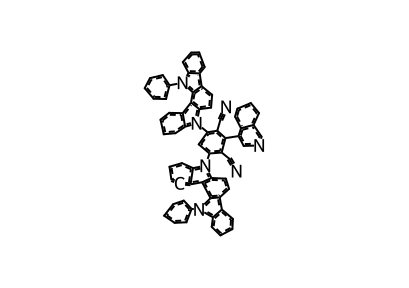 N#Cc1c(-n2c3ccccc3c3c2ccc2c4ccccc4n(-c4ccccc4)c23)cc(-n2c3ccccc3c3c2ccc2c4ccccc4n(-c4ccccc4)c23)c(C#N)c1-c1cncc2ccccc12